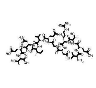 CC[C@H](C)[C@H](NC(=O)[C@@H](NC(=O)[C@H](CCC(N)=O)NC(=O)CNC(=O)[C@H](CC(=O)O)NC(=O)[C@H](CCCNC(=N)N)NC(=O)[C@@H](NC(=O)[C@H](CCC(=O)O)NC(=O)[C@@H](N)C(C)C)[C@@H](C)O)C(C)C)C(=O)N[C@@H](CC(N)=O)C(=O)N[C@@H](CCC(=O)O)C(=O)N[C@H](C(=O)O)[C@@H](C)O